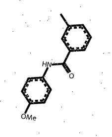 COc1ccc(NC(=O)c2cccc(C)c2)cc1